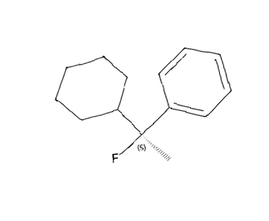 C[C@@](F)(c1ccccc1)C1CCCCC1